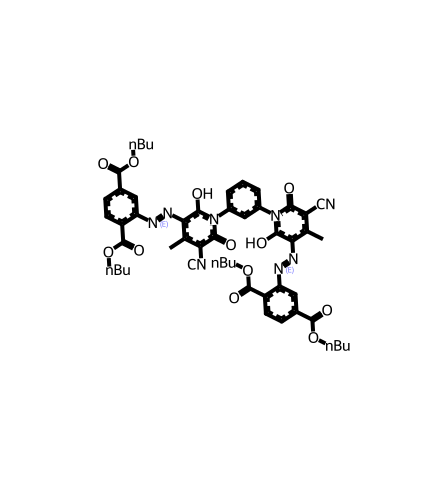 CCCCOC(=O)c1ccc(C(=O)OCCCC)c(/N=N/c2c(C)c(C#N)c(=O)n(-c3cccc(-n4c(O)c(/N=N/c5cc(C(=O)OCCCC)ccc5C(=O)OCCCC)c(C)c(C#N)c4=O)c3)c2O)c1